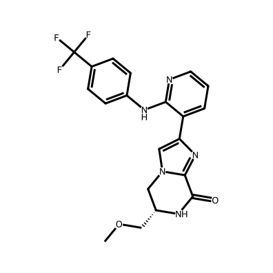 COC[C@@H]1Cn2cc(-c3cccnc3Nc3ccc(C(F)(F)F)cc3)nc2C(=O)N1